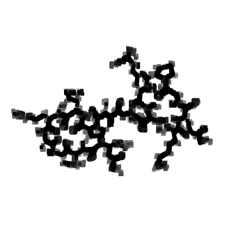 C[C@H](NC(=O)[C@H](CC(=O)O)NC(=O)[C@H](C)NC(=O)[C@H](CCC(=O)O)NC(=O)[C@H](CCC(=O)O)NC(=O)[C@@H]1CCCN1C(=O)[C@H](C)NC(=O)CNC(=O)[C@@H](N(C)C(=O)[C@H](CCCNC(=N)N)NC(=O)[C@@H]1CCCN1C(=O)CNC(=O)[C@H](CCC(N)=O)NC(=O)[C@@H](N)CCCCN)C(C)(C)C)C(=O)N[C@@H](CC(N)=O)C(=O)O